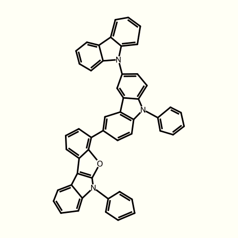 c1ccc(-n2c3ccc(-c4cccc5c4oc4c5c5ccccc5n4-c4ccccc4)cc3c3cc(-n4c5ccccc5c5ccccc54)ccc32)cc1